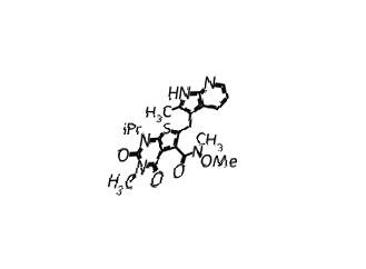 CON(C)C(=O)c1c(Cc2c(C)[nH]c3ncccc23)sc2c1c(=O)n(C)c(=O)n2C(C)C